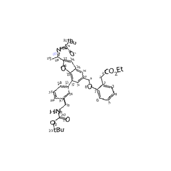 CCOC(=O)Cc1ccccc1OCc1cc(-c2cccc(CNC(=O)OC(C)(C)C)c2)c2oc(/C(C)=N\[S@+]([O-])C(C)(C)C)cc2c1